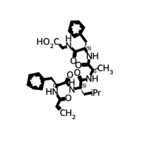 C=CC(=O)N[C@@H](Cc1ccccc1)C(=O)N[C@@H](CC(C)C)C(=O)N[C@@H](C)C(=O)N[C@@H](Cc1ccccc1)C(=O)NCC(=O)O